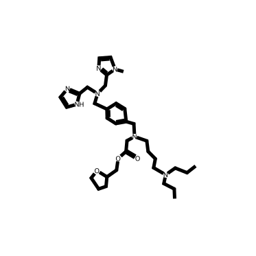 CCCN(CCC)CCCCN(CC(=O)OCC1CCCO1)Cc1ccc(CN(Cc2ncc[nH]2)Cc2nccn2C)cc1